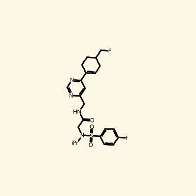 CC(C)N(CC(=O)NCc1cc(C2=CCC(CF)CC2)ncn1)S(=O)(=O)c1ccc(F)cc1